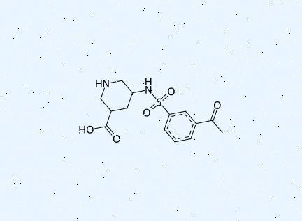 CC(=O)c1cccc(S(=O)(=O)NC2CNCC(C(=O)O)C2)c1